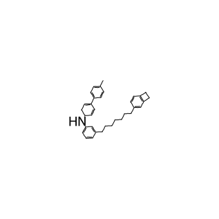 Cc1ccc(C2=CCC(Nc3cccc(CCCCCCCc4ccc5c(c4)CC5)c3)C=C2)cc1